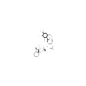 COc1cc2c(cc1OC)[C@H]1C[C@@H](COC(=O)NCC3(CC(=O)O)CCCCC3)[C@H](CC(C)C)CN1CC2